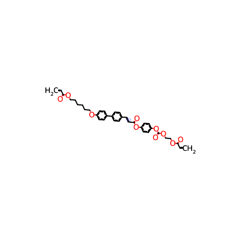 C=CC(=O)OCCCCCCOc1ccc(-c2ccc(/C=C/C(=O)Oc3ccc(OC(=O)OCCOC(=O)C=C)cc3)cc2)cc1